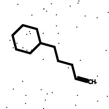 [CH]=CCCCC1CCCCC1